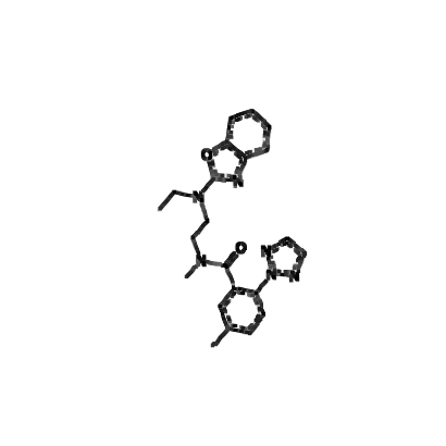 CCN(CCN(C)C(=O)c1cc(C)ccc1-n1nccn1)c1nc2ccccc2o1